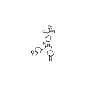 CCN(CC)C(=O)c1ccc2c(c1)nc(Cc1ccc3c(c1)CCO3)n2CC1CCNCC1